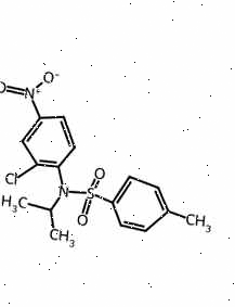 Cc1ccc(S(=O)(=O)N(c2ccc([N+](=O)[O-])cc2Cl)C(C)C)cc1